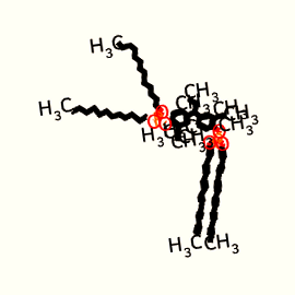 CC#CC#CC#CC#CC#CC#COP(OC#CC#CC#CC#CC#CC#CC)Oc1cc(C)c(C(CCC)c2cc(C(C)(C)C)c(OP(OCCCCCCCCCCCCC)OCCCCCCCCCCCCC)cc2C)cc1C(C)(C)C